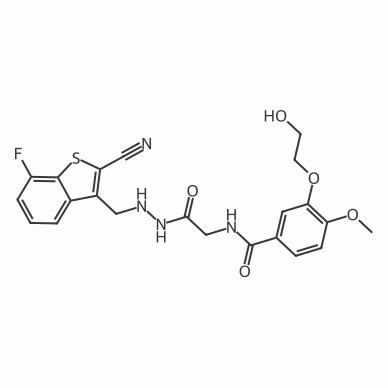 COc1ccc(C(=O)NCC(=O)NNCc2c(C#N)sc3c(F)cccc23)cc1OCCO